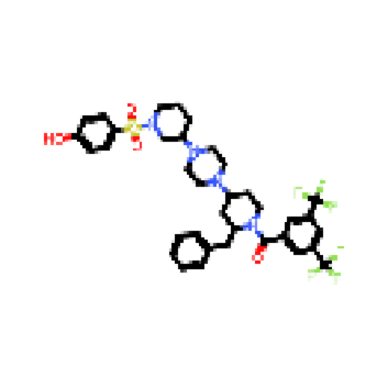 O=C(c1cc(C(F)(F)F)cc(C(F)(F)F)c1)N1CCC(N2CCN(C3CCCN(S(=O)(=O)c4ccc(O)cc4)C3)CC2)CC1Cc1ccccc1